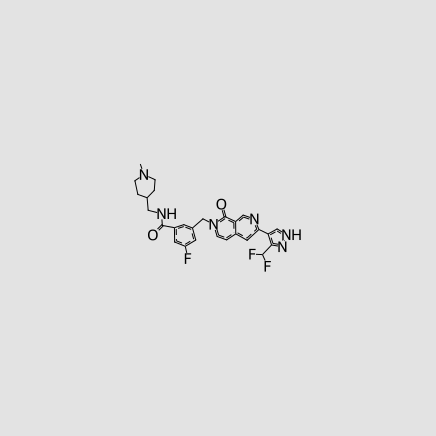 CN1CCC(CNC(=O)c2cc(F)cc(Cn3ccc4cc(-c5c[nH]nc5C(F)F)ncc4c3=O)c2)CC1